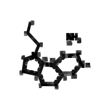 CCCn1ccc2ccc3cnccc3c21.N